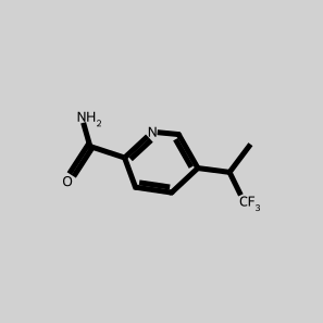 CC(c1ccc(C(N)=O)nc1)C(F)(F)F